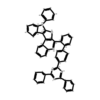 c1ccc(-c2nc(-c3ccccc3)nc(-c3ccc(-c4ccccc4-c4nc5ccccc5c5c4oc4c5c5ccccc5n4-c4ccccc4)cc3)n2)cc1